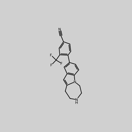 N#Cc1ccc(-c2ccc3c(c2)cc2n3CCNCC2)c(C(F)(F)F)c1